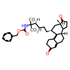 C[C@]12C[C@H](CCCCC(NC(=O)OCc3ccccc3)(C(=O)O)C(=O)O)C3=C4CCC(=O)C=C4CC[C@H]3[C@@H]1CCC2=O